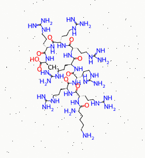 C[C@H](NC(=O)[C@H](CCCNC(=N)N)NC(=O)[C@H](CCCNC(=N)N)NC(=O)[C@H](CCCNC(=N)N)NC(=O)[C@H](CCCNC(=N)N)NC(=O)[C@H](CCCNC(=N)N)NC(=O)[C@H](CCCNC(=N)N)NC(=O)[C@H](CCCNC(=N)N)NC(=O)[C@@H](N)CCCCN)C(=O)O